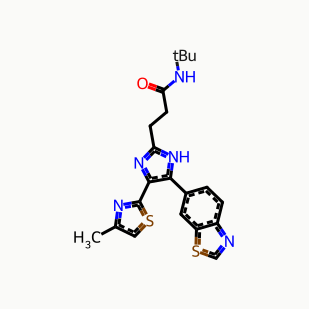 Cc1csc(-c2nc(CCC(=O)NC(C)(C)C)[nH]c2-c2ccc3ncsc3c2)n1